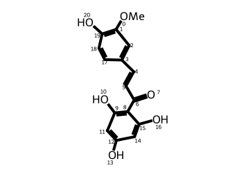 COc1cc(C=CC(=O)c2c(O)cc(O)cc2O)ccc1O